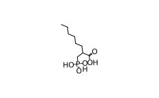 CCCCCCC(CP(=O)(O)O)C(=O)O